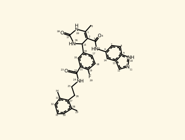 CC1=C(C(=O)Nc2ccc3[nH]ncc3c2)C(c2ccc(F)c(C(=O)NCCc3c(C)cccc3C)c2)NC(=O)N1